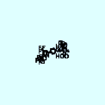 C[C@@H]1C[C@H](NS(C)(=O)=O)[C@H](COC2CCC(c3cc(C(F)(F)F)cc(OS(=O)(=O)C(F)(F)F)n3)CC2)N1C(=O)O